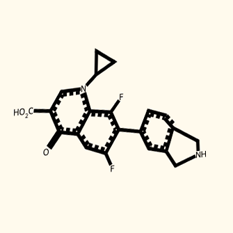 O=C(O)c1cn(C2CC2)c2c(F)c(-c3ccc4c(c3)CNC4)c(F)cc2c1=O